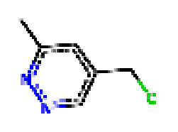 Cc1cc(CCl)cnn1